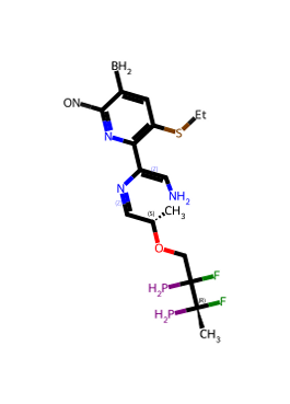 Bc1cc(SCC)c(C(=C/N)/N=C\[C@H](C)OCC(F)(P)[C@](C)(F)P)nc1N=O